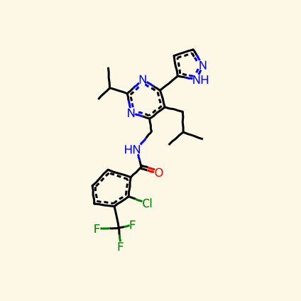 CC(C)Cc1c(CNC(=O)c2cccc(C(F)(F)F)c2Cl)nc(C(C)C)nc1-c1ccn[nH]1